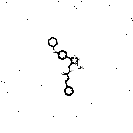 Cn1nnc(-c2ccc(OC3CCCCC3)cc2)c1CNC(=O)/C=C/c1ccccc1